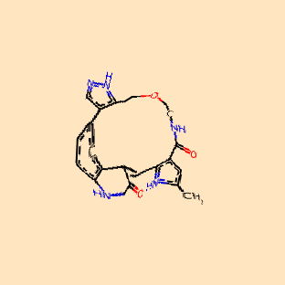 Cc1cc2c([nH]1)/C=C1\C(=O)Nc3ccc(cc31)-c1cn[nH]c1COCCNC2=O